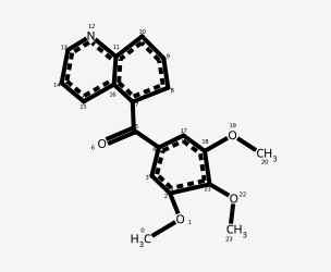 COc1cc(C(=O)c2cccc3ncccc23)cc(OC)c1OC